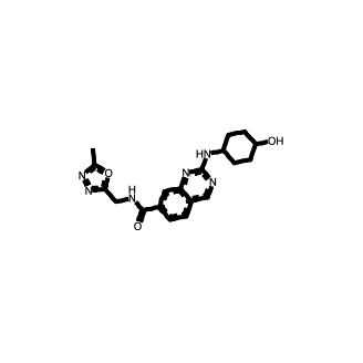 Cc1nnc(CNC(=O)c2ccc3cnc(NC4CCC(O)CC4)nc3c2)o1